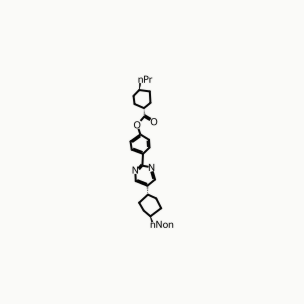 CCCCCCCCC[C@H]1CC[C@H](c2cnc(-c3ccc(OC(=O)[C@H]4CC[C@H](CCC)CC4)cc3)nc2)CC1